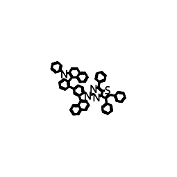 c1ccc(-c2sc3c(-c4ccccc4)nc(-n4c5ccc(-c6cccc7c6c6c8ccccc8ccc6n7-c6ccccc6)cc5c5c6ccccc6ccc54)nc3c2-c2ccccc2)cc1